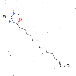 CCCCCCCCC=CCCCCCCCCCCCC(=O)NC(CC)N(C)C